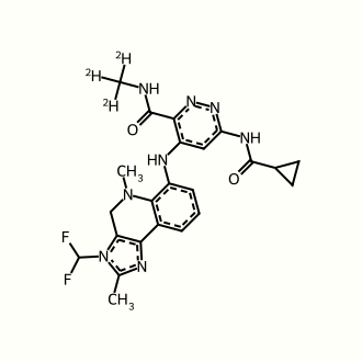 [2H]C([2H])([2H])NC(=O)c1nnc(NC(=O)C2CC2)cc1Nc1cccc2c1N(C)Cc1c-2nc(C)n1C(F)F